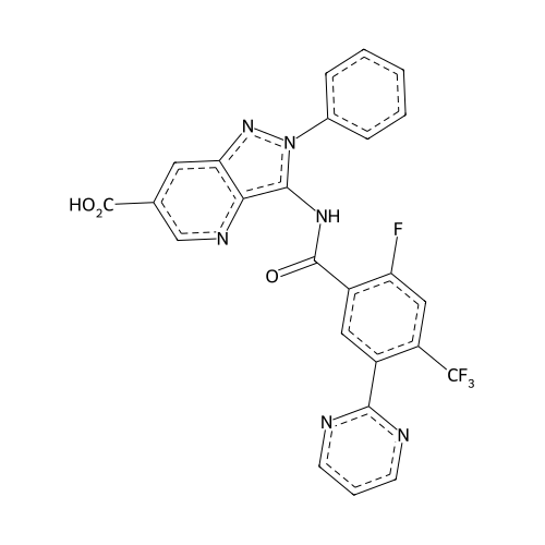 O=C(O)c1cnc2c(NC(=O)c3cc(-c4ncccn4)c(C(F)(F)F)cc3F)n(-c3ccccc3)nc2c1